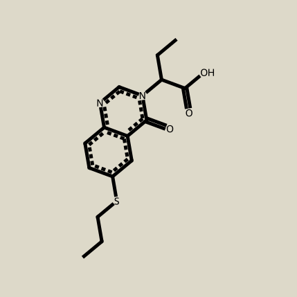 CCCSc1ccc2ncn(C(CC)C(=O)O)c(=O)c2c1